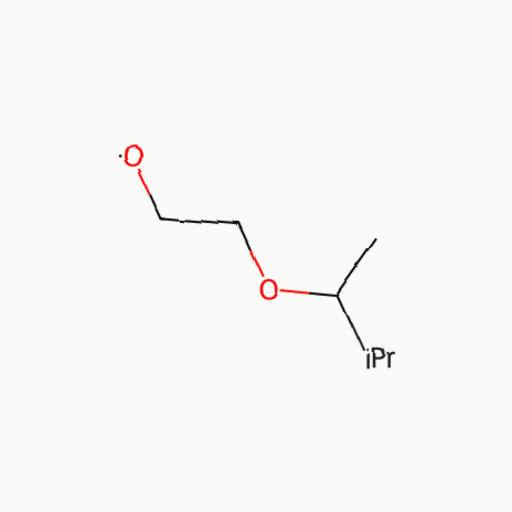 CC(C)C(C)OCC[O]